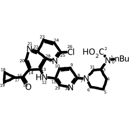 CCCCN(C(=O)O)C1CCCN(c2ccc(Nc3c(C(=O)C4CC4)cnc4ccc(Cl)nc34)cn2)C1